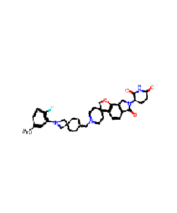 COc1ccc(F)c(N2CC3(CCC(CN4CCC5(CC4)COc4c5ccc5c4CN(C4CCC(=O)NC4=O)C5=O)CC3)C2)c1